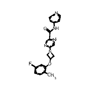 Cc1ccc(F)cc1OC1CN(c2cnc(C(=O)Nc3ccncc3)cn2)C1